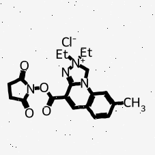 CC[N+]1(CC)CN2C(=N1)C(C(=O)ON1C(=O)CCC1=O)=Cc1ccc(C)cc12.[Cl-]